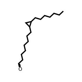 CCCCCCCC1CC1CCCCCCCC=O